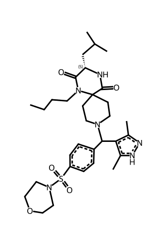 CCCCN1C(=O)[C@H](CC(C)C)NC(=O)C12CCN(C(c1ccc(S(=O)(=O)N3CCOCC3)cc1)c1c(C)n[nH]c1C)CC2